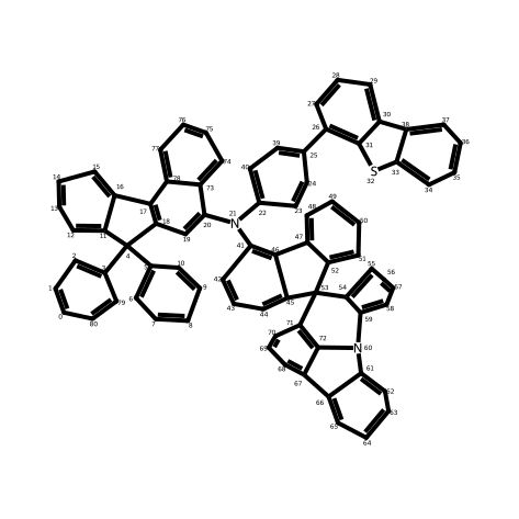 c1ccc(C2(c3ccccc3)c3ccccc3-c3c2cc(N(c2ccc(-c4cccc5c4sc4ccccc45)cc2)c2cccc4c2-c2ccccc2C42c4ccccc4-n4c5ccccc5c5cccc2c54)c2ccccc32)cc1